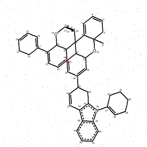 CC12CC=CC=C1C1(C3C=CC=CC3OC3C(C4=CC=CCC4)=CC=CC31)C1C=CC(C3C=Cc4c(n(C5=CCCCC5)c5ccccc45)C3)=CC1O2